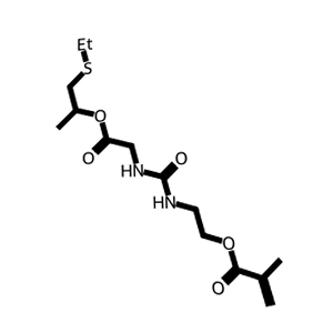 C=C(C)C(=O)OCCNC(=O)NCC(=O)OC(C)CSCC